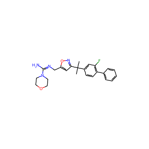 CC(C)(c1ccc(-c2ccccc2)c(F)c1)c1cc(CN=C(N)N2CCOCC2)on1